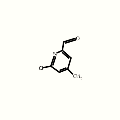 Cc1cc(Cl)nc(C=O)c1